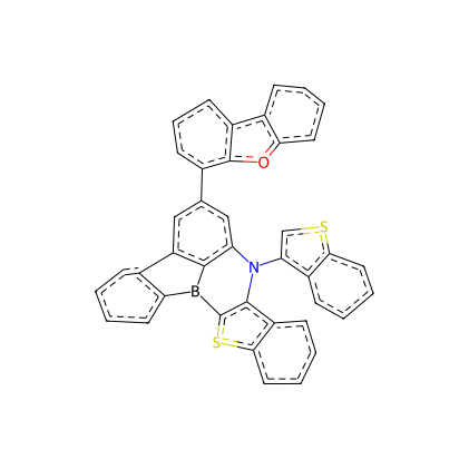 c1ccc2c(c1)B1c3sc4ccccc4c3N(c3csc4ccccc34)c3cc(-c4cccc5c4oc4ccccc45)cc-2c31